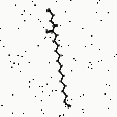 CC(C)CCCCCCCCCCCCCCC(=O)NCCO